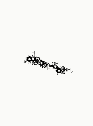 NS(=O)(=O)c1cccc(OC[C@@H](O)CNC2COC3(CCN(S(=O)(=O)c4c[nH]c5ccc(F)cc5c4=O)CC3)C2)c1